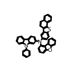 c1ccc(-n2c3ccccc3c3ccc(N(c4ccc5sc6c7ccccc7ccc6c5c4)c4cccc5oc6ccccc6c45)cc32)cc1